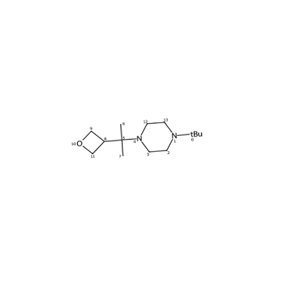 CC(C)(C)N1CCN(C(C)(C)C2COC2)CC1